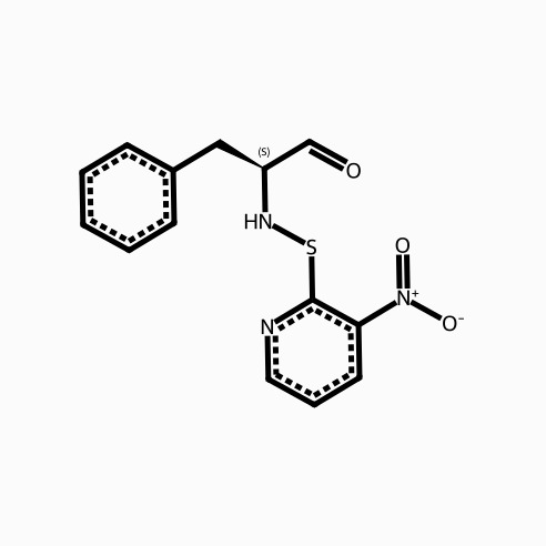 O=C[C@H](Cc1ccccc1)NSc1ncccc1[N+](=O)[O-]